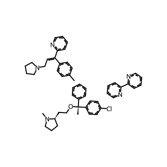 CN1CCC[C@@H]1CCO[C@](C)(c1ccccc1)c1ccc(Cl)cc1.Cc1ccc(/C(=C\CN2CCCC2)c2ccccn2)cc1.c1ccc(-c2ccccn2)nc1